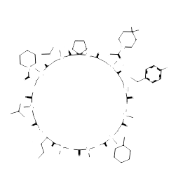 CC[C@H](C)[C@@H]1NC(=O)[C@H](CC(C)C)N(C)C(=O)C[C@@H](C(=O)N2CCCCC2)N(C)C(=O)[C@H](C(C)C)N(C)C(=O)C2(CCCC2)NC(=O)[C@H](CC(=O)N2CCC(F)(F)CC2)N(C)C(=O)[C@H](CCc2ccc(Cl)cc2)NC(=O)CN(C)C(=O)[C@H](CC2CCCCC2)N(C)C(=O)CN(C)C(=O)CN(C)C1=O